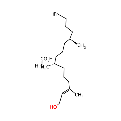 CC(=CCO)CCC[C@H](C)CCC[C@H](C)CCCC(C)C.CC(=O)O